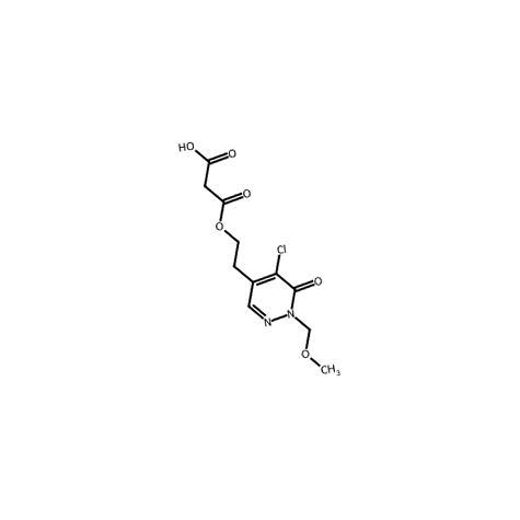 COCn1ncc(CCOC(=O)CC(=O)O)c(Cl)c1=O